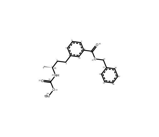 C[C@H](CCc1cccc(C(=O)OCc2ccccc2)c1)NC(=O)OC(C)(C)C